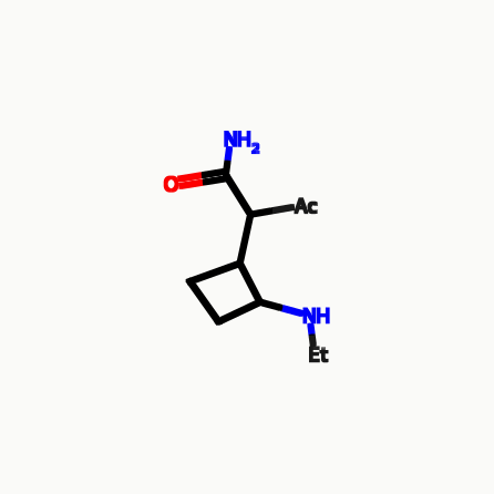 CCNC1CCC1C(C(C)=O)C(N)=O